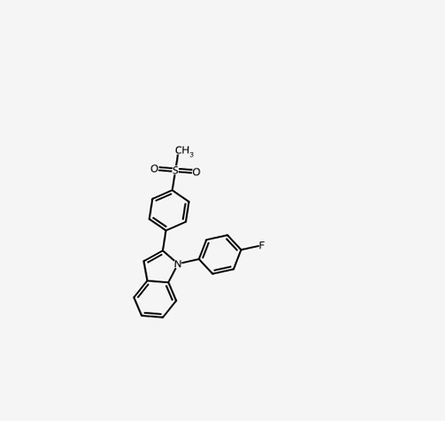 CS(=O)(=O)c1ccc(-c2cc3ccccc3n2-c2ccc(F)cc2)cc1